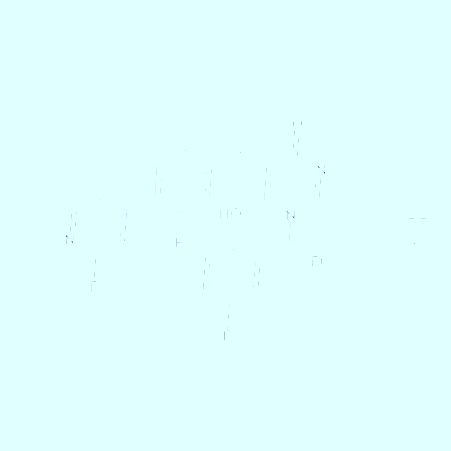 CCC(c1cc(F)cc(F)c1)n1c(CCC2CC2)nc(=O)c(Cc2ccc(-c3ccnc(F)c3C)cc2)c1O